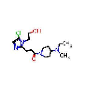 CCN(C)C1CCN(C(=O)CCc2ncc(Cl)n2CCO)CC1